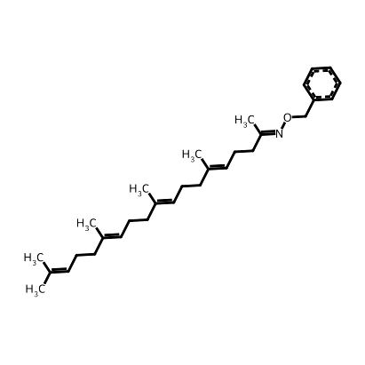 CC(C)=CCC/C(C)=C/CC/C(C)=C/CC/C(C)=C/CC/C(C)=N/OCc1ccccc1